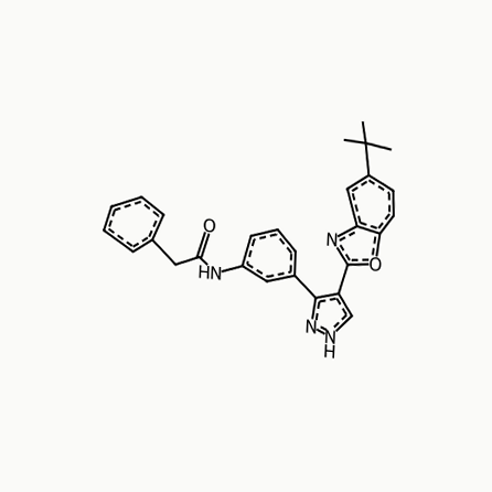 CC(C)(C)c1ccc2oc(-c3c[nH]nc3-c3cccc(NC(=O)Cc4ccccc4)c3)nc2c1